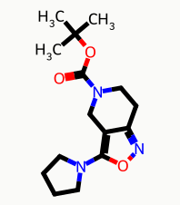 CC(C)(C)OC(=O)N1CCc2noc(N3CCCC3)c2C1